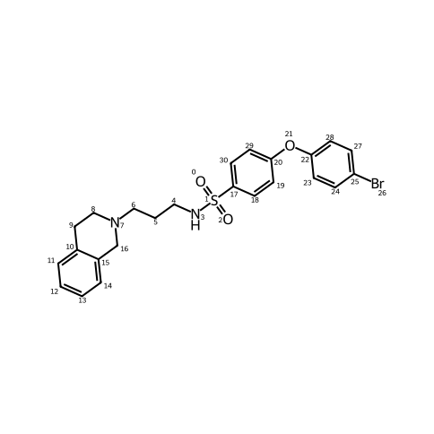 O=S(=O)(NCCCN1CCc2ccccc2C1)c1ccc(Oc2ccc(Br)cc2)cc1